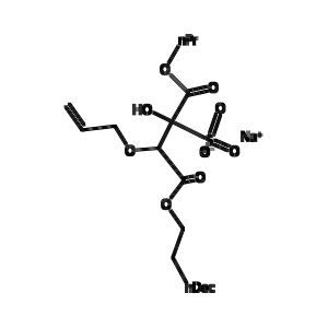 C=CCOC(C(=O)OCCCCCCCCCCCC)C(O)(C(=O)OCCC)S(=O)(=O)[O-].[Na+]